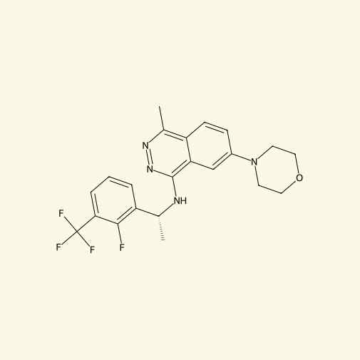 Cc1nnc(N[C@H](C)c2cccc(C(F)(F)F)c2F)c2cc(N3CCOCC3)ccc12